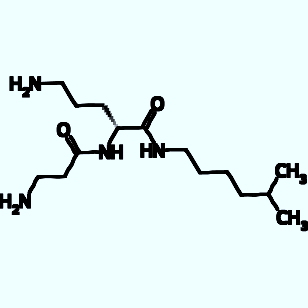 CC(C)CCCCNC(=O)[C@@H](CCCN)NC(=O)CCN